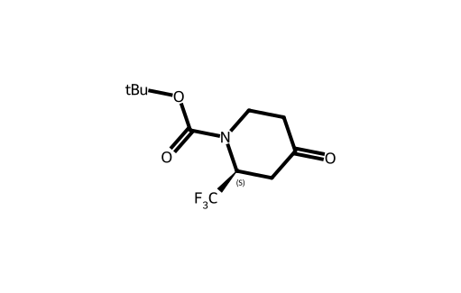 CC(C)(C)OC(=O)N1CCC(=O)C[C@H]1C(F)(F)F